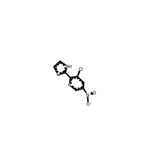 O=[N+]([O-])c1cnc(-c2ncc[nH]2)c(Cl)c1